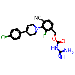 N#Cc1ccc(COC(=O)NC(=N)N)c(F)c1N1CC=C(c2ccc(Cl)cc2)CC1